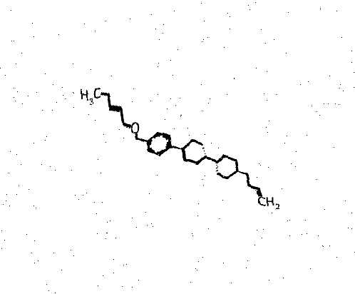 C=CCC[C@H]1CC[C@H]([C@H]2CC[C@H](c3ccc(COCC=CCC)cc3)CC2)CC1